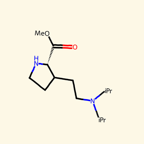 COC(=O)[C@H]1NCCC1CCN(C(C)C)C(C)C